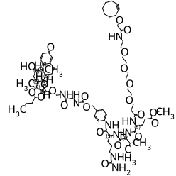 CCCC1O[C@@H]2C[C@H]3[C@@H]4CCC5=CC(=O)C=C[C@]5(C)[C@H]4[C@@H](O)C[C@]3(C)[C@]2(C(=O)COCNC(=O)CNC(=O)OCc2ccc(NC(=O)[C@H](CCCNC(N)=O)NC(=O)[C@@H](NC(=O)[C@H](CCC(=O)OC)NC(=O)CCOCCOCCOCCOCCNC(=O)COC3C#CCCCCC3)C(C)C)cc2)O1